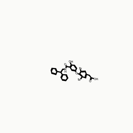 O=C(O)Cc1cc(Br)c(Oc2ccc(O)c(C(=O)NCC(c3ccccc3)c3ccccc3)c2)c(Br)c1